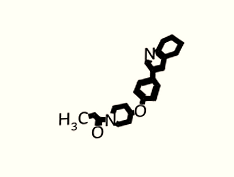 CCC(=O)N1CCC(Oc2ccc(-c3cnc4c(c3)CCCC4)cc2)CC1